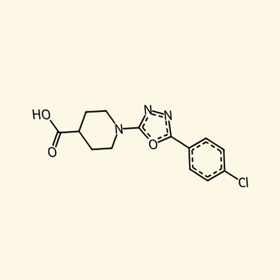 O=C(O)C1CCN(c2nnc(-c3ccc(Cl)cc3)o2)CC1